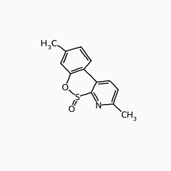 Cc1ccc2c(c1)OS(=O)c1nc(C)ccc1-2